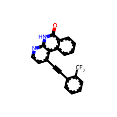 O=c1[nH]c2nccc(C#Cc3ccccc3C(F)(F)F)c2c2ccccc12